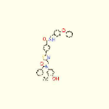 CC(=O)c1cc(N(Cc2csc(-c3ccc(C(=O)NCc4ccc(Oc5ccccc5)cc4)cc3)n2)C(=O)c2ccccc2)ccc1O